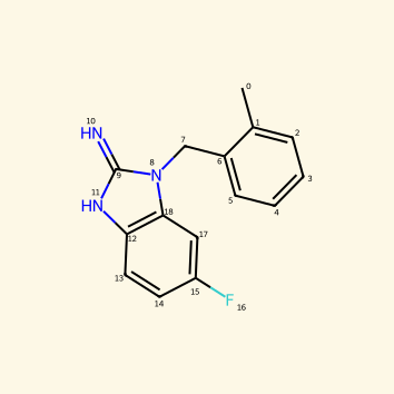 Cc1ccccc1Cn1c(=N)[nH]c2ccc(F)cc21